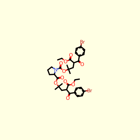 CCOC(=O)C(CC(C)(C)OC(=O)C1CCCN1C(=O)OC(C)(C)CC(C(=O)OCC)C(=O)c1ccc(Br)cc1)C(=O)c1ccc(Br)cc1